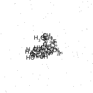 Cc1c(C(=O)N[C@@H]2C(C(C)(C)C)N(C(=O)O)C[C@@H]2O)c2ncnc(-c3ccc(F)cc3OCC3CC3)c2n1COCC[Si](C)(C)C